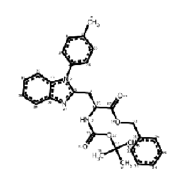 Cc1ccc(-n2c(C[C@H](NC(=O)OC(C)(C)C)C(=O)OCc3ccccc3)nc3ccccc32)cc1